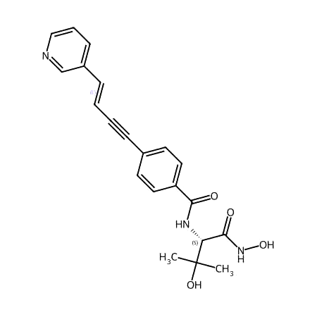 CC(C)(O)[C@H](NC(=O)c1ccc(C#C/C=C/c2cccnc2)cc1)C(=O)NO